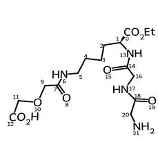 CCOC(=O)[C@H](CCCCNC(=O)COCC(=O)O)NC(=O)CNC(=O)CN